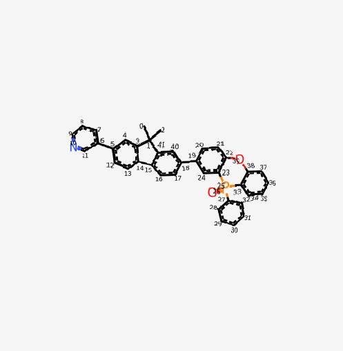 CC1(C)c2cc(-c3cccnc3)ccc2-c2ccc(-c3ccc4c(c3)P(=O)(c3ccccc3)c3ccccc3O4)cc21